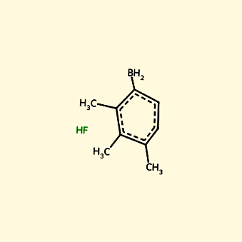 Bc1ccc(C)c(C)c1C.F